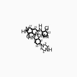 COc1cc(N2CCNCC2)ccc1Nc1nc(Nc2ccccc2Cl)cc2cn[nH]c(=O)c12